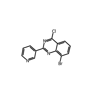 Clc1nc(-c2cccnc2)nc2c(Br)cccc12